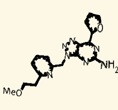 COCCc1cccc(Cn2nnc3c(-c4ccco4)nc(N)nc32)n1